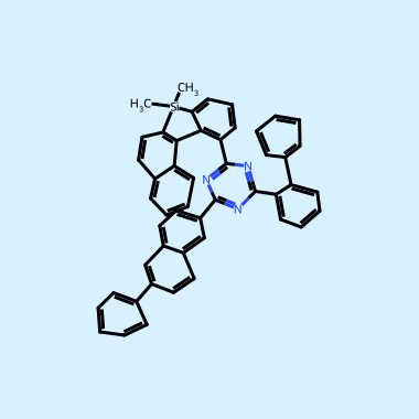 C[Si]1(C)c2cccc(-c3nc(-c4ccc5cc(-c6ccccc6)ccc5c4)nc(-c4ccccc4-c4ccccc4)n3)c2-c2c1ccc1ccccc21